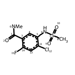 CNC(=O)c1cc(NS(C)(=O)=O)c(Cl)cc1F